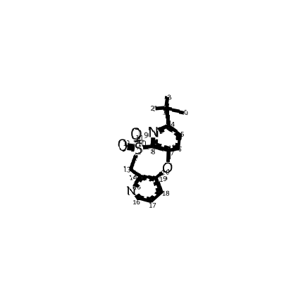 CC(C)(C)c1ccc2c(n1)S(=O)(=O)Cc1ncccc1O2